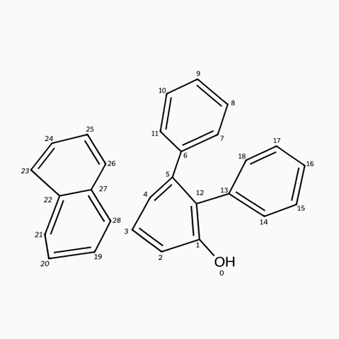 Oc1cccc(-c2ccccc2)c1-c1ccccc1.c1ccc2ccccc2c1